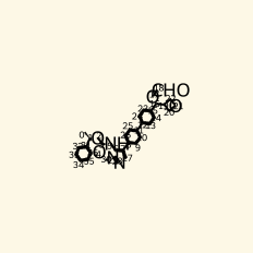 C[C@@H](OC(=O)Nc1c(-c2ccc(-c3ccc(C(OC=O)C4COC4)cc3)cc2)cnn1C)c1ccccc1